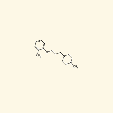 Cc1ccccc1OCCCN1CCN(C)CC1